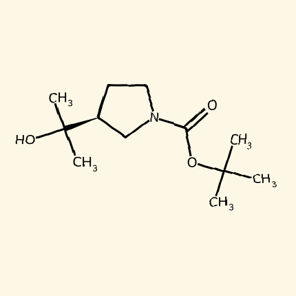 CC(C)(C)OC(=O)N1CC[C@H](C(C)(C)O)C1